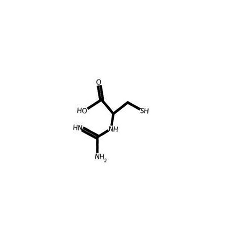 N=C(N)NC(CS)C(=O)O